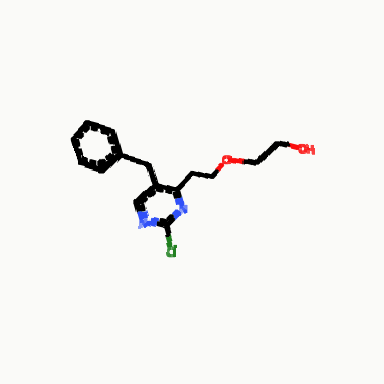 OCCOCCc1nc(Cl)ncc1Cc1ccccc1